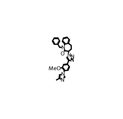 COc1cc(-c2cn(C3CCc4ccccc4N(Cc4ccccc4)C3=O)nn2)ccc1-n1cnc(C)c1